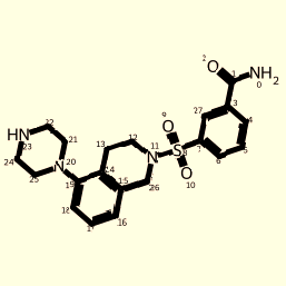 NC(=O)c1cccc(S(=O)(=O)N2CCc3c(cccc3N3CCNCC3)C2)c1